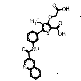 Cc1c(-c2cccc(NC(=O)c3cnc4ccccc4c3)c2)sc(C(=O)O)c1OCC(=O)O